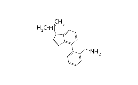 [CH3][Hf]([CH3])[CH]1C=Cc2c(-c3ccccc3CN)cccc21